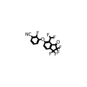 N#Cc1cccc(Oc2ccc3c(c2C(F)F)C(=O)C(F)(F)C3(F)F)c1F